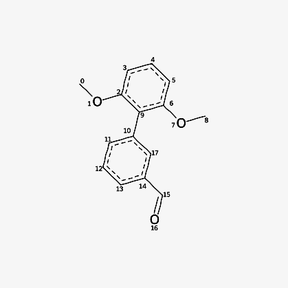 COc1cccc(OC)c1-c1cccc(C=O)c1